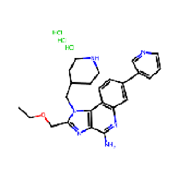 CCOCc1nc2c(N)nc3cc(-c4cccnc4)ccc3c2n1CC1CCNCC1.Cl.Cl.Cl